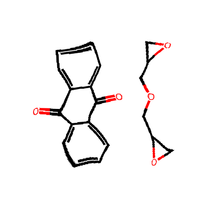 C(OCC1CO1)C1CO1.O=C1c2ccccc2C(=O)c2ccccc21